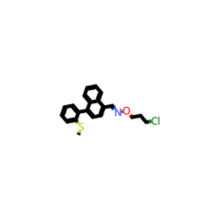 CSc1ccccc1-c1ccc(C=NOCCCCl)c2ccccc12